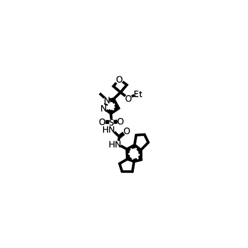 CCOC1(c2cc(S(=O)(=O)NC(=O)Nc3c4c(cc5c3CCC5)CCC4)nn2C)COC1